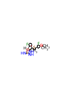 CC(C)Oc1ccc(-c2ccc(C(c3cccc(F)c3)C(C)(C)C(=O)NC(=N)SC=N)s2)cc1F